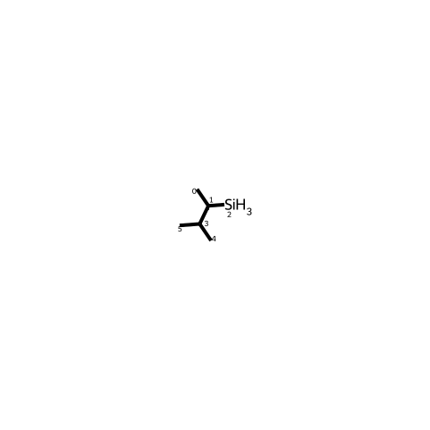 C[C]([SiH3])C(C)C